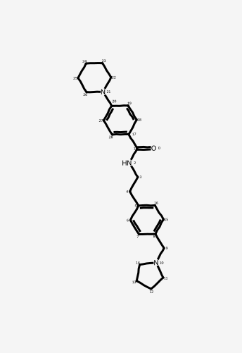 O=C(NCCc1ccc(CN2CCCC2)cc1)c1ccc(N2CCCCC2)cc1